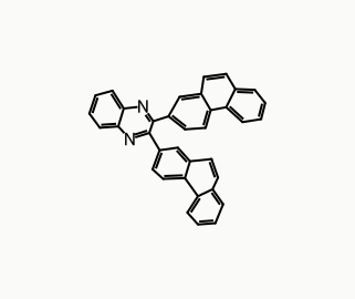 c1ccc2c(c1)ccc1cc(-c3nc4ccccc4nc3-c3ccc4c(ccc5ccccc54)c3)ccc12